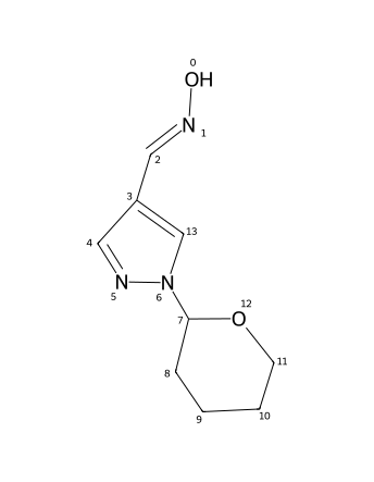 ON=Cc1cnn(C2CCCCO2)c1